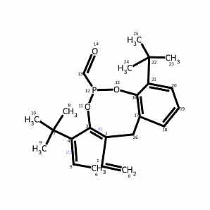 C=C/C1=C(\C(=C/C)C(C)(C)C)OP(C=O)Oc2c(cccc2C(C)(C)C)C1